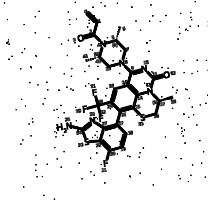 C=CC(=O)N1[C@H](C)CN(c2nc(=O)n3c4c(c(-c5ccc(F)c6sc(N)nc56)c(C(F)(F)F)cc24)SC[C@@H]3C)C[C@@H]1C